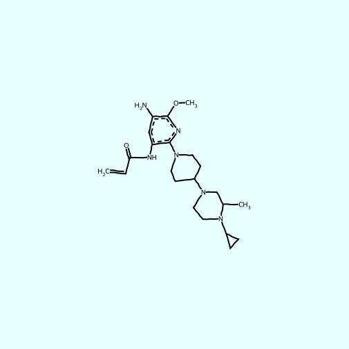 C=CC(=O)Nc1cc(N)c(OC)nc1N1CCC(N2CCN(C3CC3)C(C)C2)CC1